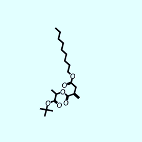 C=C(CC(=O)OCCCCCCCCC)C(=O)OC(C)C(=O)OC(C)(C)C